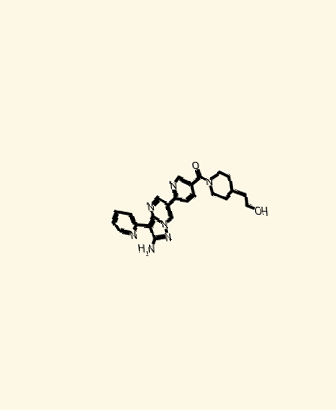 Nc1nn2cc(-c3ccc(C(=O)N4CCC(CCO)CC4)cn3)cnc2c1-c1ccccn1